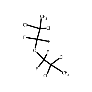 FC(F)(F)C(Cl)(Cl)C(F)(F)OC(F)(F)C(Cl)(Cl)C(F)(F)F